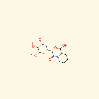 COC1CC(CC(=O)N2CCCCC2C(=O)O)C[C@H](OC)C1OC